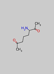 CC(=O)CCCC(N)C(C)=O